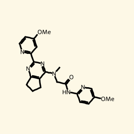 COc1ccc(NC(=O)CN(C)c2nc(-c3cc(OC)ccn3)nc3c2CCC3)nc1